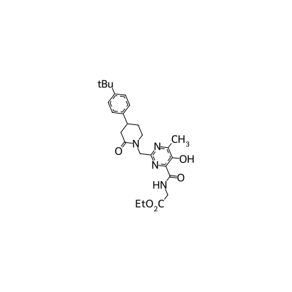 CCOC(=O)CNC(=O)c1nc(CN2CCC(c3ccc(C(C)(C)C)cc3)CC2=O)nc(C)c1O